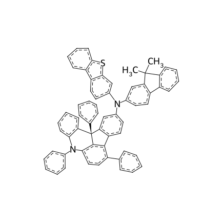 CC1(C)c2ccccc2-c2ccc(N(c3ccc4c(c3)[C@@]3(c5ccccc5)c5ccccc5N(c5ccccc5)c5ccc(-c6ccccc6)c-4c53)c3ccc4c(c3)sc3ccccc34)cc21